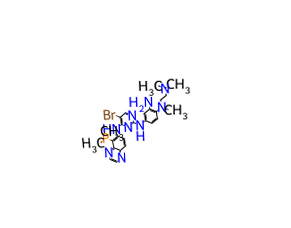 CN(C)CCN(C)c1ccc(Nc2ncc(Br)c(Nc3ccc4nccnc4c3P(C)C)n2)cc1N